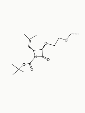 CCOCCO[C@H]1C(=O)N(C(=O)OC(C)(C)C)[C@H]1C=C(C)C